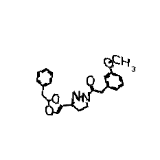 COc1cccc(CC(=O)N2CCC(C3=COC(Cc4ccccc4)O3)=N2)c1